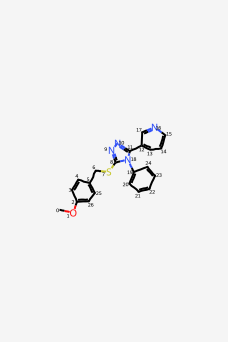 COc1ccc(CSc2nnc(-c3cccnc3)n2-c2ccccc2)cc1